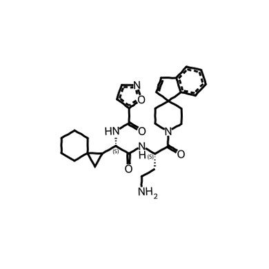 NCC[C@H](NC(=O)[C@@H](NC(=O)c1ccno1)C1CC12CCCCC2)C(=O)N1CCC2(C=Cc3ccccc32)CC1